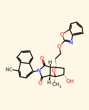 C[C@]12O[C@](CCOc3nc4ccccc4o3)(C[C@@H]1O)[C@H]1C(=O)N(c3ccc(C#N)c4ccccc34)C(=O)[C@H]12